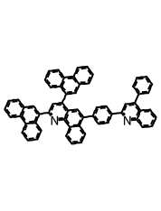 c1ccc(-c2cc(-c3ccc(-c4cc5c(-c6cc7ccccc7c7ccccc67)cc(-c6cc7ccccc7c7ccccc67)nc5c5ccccc45)cc3)nc3ccccc23)cc1